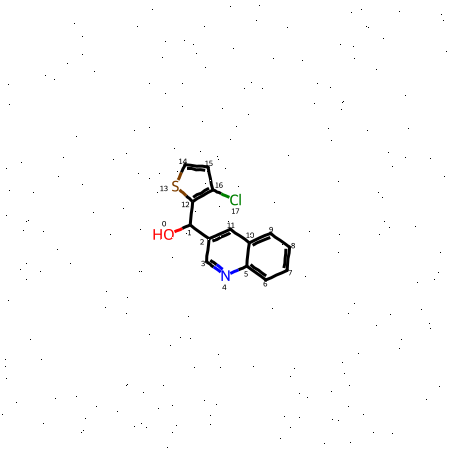 OC(c1cnc2ccccc2c1)c1sccc1Cl